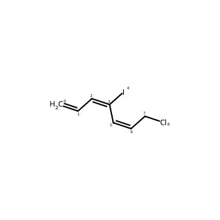 C=C/C=C(I)\C=C/CCl